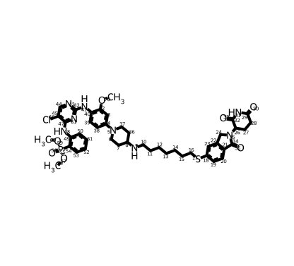 COc1cc(N2CCC(NCCCCCCCSc3ccc4c(c3)CN(C3CCC(=O)NC3=O)C4=O)CC2)ccc1Nc1ncc(Cl)c(Nc2ccccc2P(=O)(OC)OC)n1